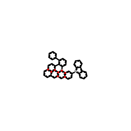 c1ccc(-c2ccccc2-c2c(-c3ccccc3)cccc2N(c2cccc(-n3c4ccccc4c4ccccc43)c2)c2ccc3ccccc3c2)cc1